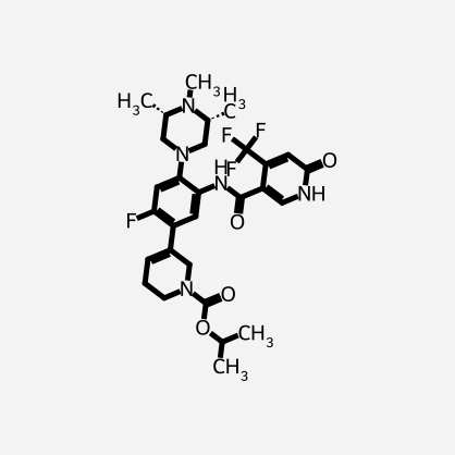 CC(C)OC(=O)N1CCC=C(c2cc(NC(=O)c3c[nH]c(=O)cc3C(F)(F)F)c(N3C[C@@H](C)N(C)[C@@H](C)C3)cc2F)C1